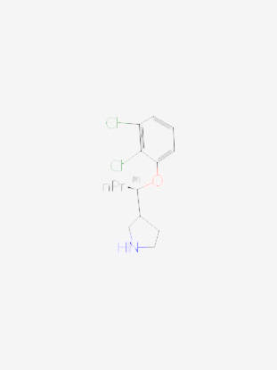 CCC[C@@H](Oc1cccc(Cl)c1Cl)C1CCNC1